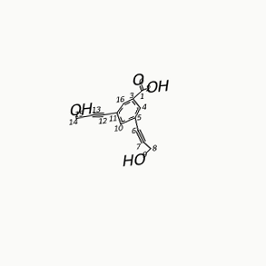 O=C(O)c1cc(C#CCO)cc(C#CCO)c1